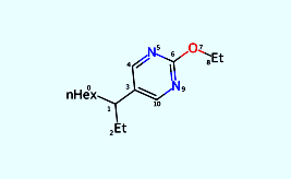 CCCCCCC(CC)c1cnc(OCC)nc1